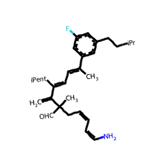 C=C(/C(=C/C=C(\C)c1cc(F)cc(CCC(C)C)c1)C(C)CCC)C(C)(C=O)C/C=C\C=C/N